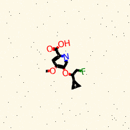 COc1cc(C(=O)O)ncc1OC(CF)C1CC1